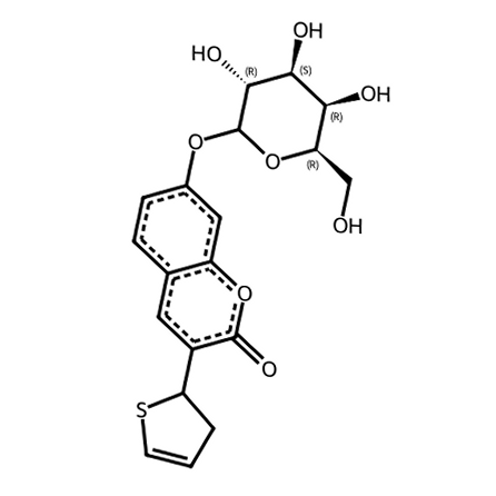 O=c1oc2cc(OC3O[C@H](CO)[C@H](O)[C@H](O)[C@H]3O)ccc2cc1C1CC=CS1